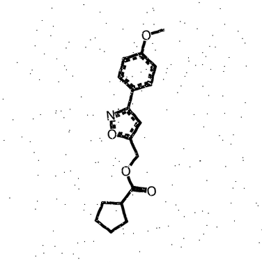 COc1ccc(-c2cc(COC(=O)C3CCCC3)on2)cc1